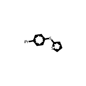 CC(C)c1ccc(Sc2cccs2)cc1